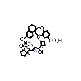 C[C@@]1(C/C=C/C(O)[C@@H]2CC[C@H]2CN2C[C@@]3(CCCc4cc(Cl)ccc43)COc3ccc(C(=O)O)cc32)CCC[C@H]1S(N)(=O)=O